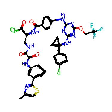 Cc1csc(-c2cccc(NC(=O)C(=O)NC[C@H](NC(=O)c3ccc(Nc4nc(NC5(c6ccc(Cl)cc6)CC5)nc(OCC(F)(F)F)n4)cc3)C(=O)Cl)c2)n1